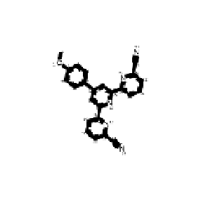 COc1ccc(-c2cc(-c3cccc(C#N)n3)nc(-c3cccc(C#N)n3)c2)cc1